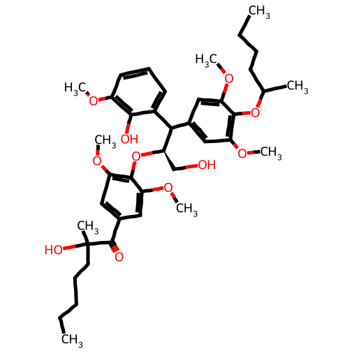 CCCCCC(C)(O)C(=O)c1cc(OC)c(O[C@H](CO)C(c2cc(OC)c(OC(C)CCCC)c(OC)c2)c2cccc(OC)c2O)c(OC)c1